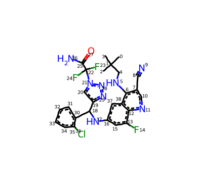 CC(C)(C)CNc1c(C#N)cnc2c(F)cc(NC(c3cn(C(F)(F)C(N)=O)nn3)c3ccccc3Cl)cc12